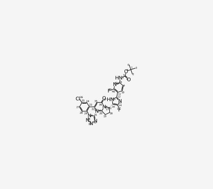 CC(C)(C)OC(=O)Nc1ccc(-c2nc(F)c([C@@H]3CCc4nc(-c5cc(Cl)ccc5-n5cnnn5)cc(=O)n43)[nH]2)c(F)n1